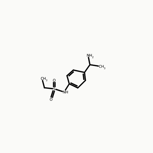 CCS(=O)(=O)Nc1ccc(C(C)N)cc1